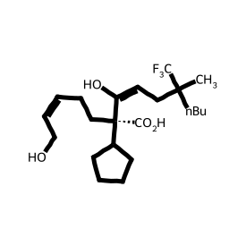 CCCCC(C)(C/C=C(/O)[C@@](CC/C=C\CO)(C(=O)O)C1CCCC1)C(F)(F)F